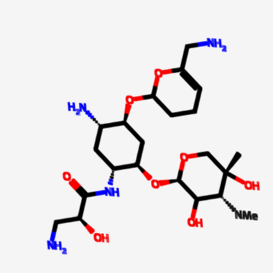 CN[C@@H]1C(O)[C@@H](O[C@@H]2C[C@H](OC3CCC=C(CN)O3)[C@@H](N)C[C@H]2NC(=O)[C@@H](O)CN)OC[C@]1(C)O